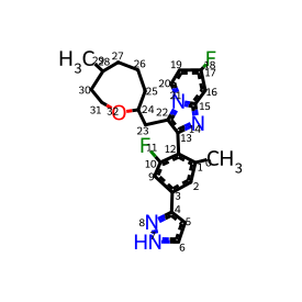 Cc1cc(-c2cc[nH]n2)cc(F)c1-c1nc2cc(F)ccn2c1CC1CCCC(C)CCO1